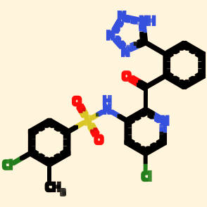 Cc1cc(S(=O)(=O)Nc2cc(Cl)cnc2C(=O)c2ccccc2-c2nnn[nH]2)ccc1Cl